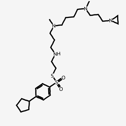 CN(CCCCN(C)CCCN1CC1)CCCNCCSS(=O)(=O)c1ccc(C2CCCC2)cc1